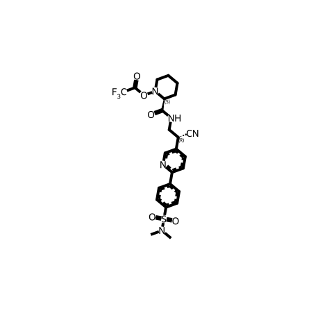 CN(C)S(=O)(=O)c1ccc(-c2ccc([C@@H](C#N)CNC(=O)[C@@H]3CCCCN3OC(=O)C(F)(F)F)cn2)cc1